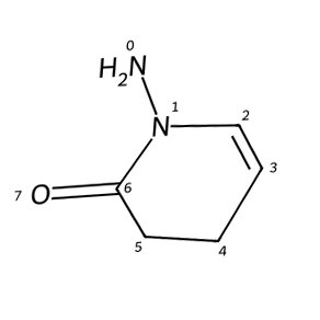 NN1C=CCCC1=O